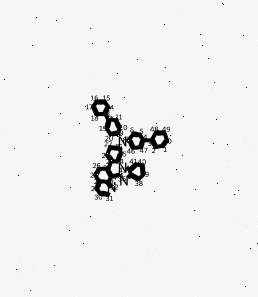 c1ccc(-c2ccc(N(c3ccc(-c4ccccc4)cc3)c3ccc4c5ccc6cccnc6c5c5nc6ccccc6n5c4c3)cc2)cc1